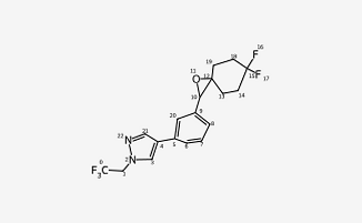 FC(F)(F)Cn1cc(-c2cccc(C3OC34CCC(F)(F)CC4)c2)cn1